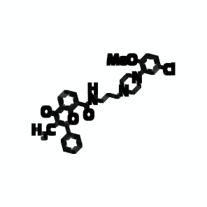 COc1ccc(Cl)cc1N1CCN(CCCNC(=O)c2cccc3c(=O)c(C)c(-c4ccccc4)oc23)CC1